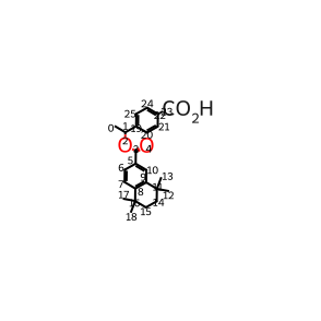 CC(OC(=O)c1ccc2c(c1)C(C)(C)CCC2(C)C)c1ccc(C(=O)O)cc1